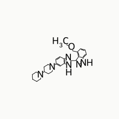 CCOCc1cccc2[nH]nc(-c3nc4ccc(N5CCC(N6CCCCC6)CC5)cc4[nH]3)c12